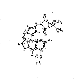 C[C@@H]1CN(C2CCNC2)c2c(cc(Cl)cc2-c2ncnn3cc(CN4C(=O)C5C(C4=O)C5(C)C)cc23)O1